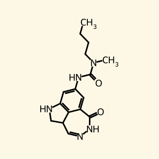 CCCCN(C)C(=O)Nc1cc2c3c(c1)C(=O)NN=CC3CN2